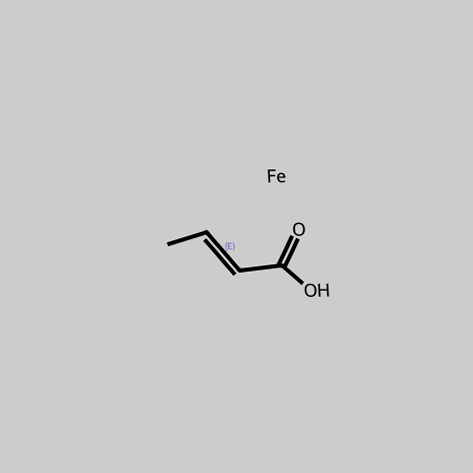 C/C=C/C(=O)O.[Fe]